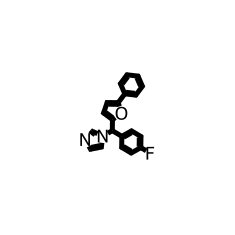 Fc1ccc(C(c2ccc(-c3ccccc3)o2)n2ccnc2)cc1